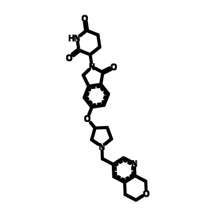 O=C1CCC(N2Cc3cc(OC4CCN(Cc5cnc6c(c5)CCOC6)C4)ccc3C2=O)C(=O)N1